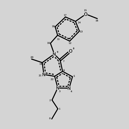 CCCn1ncc2c(=O)n(Cc3ccc(OC)cc3)c(C)nc21